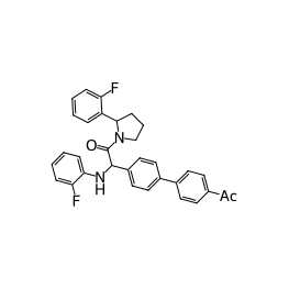 CC(=O)c1ccc(-c2ccc(C(Nc3ccccc3F)C(=O)N3CCCC3c3ccccc3F)cc2)cc1